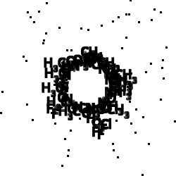 CC[C@H](C)[C@@H]1NC(=O)[C@H](CC(C)C)N(C)C(=O)C[C@@H](C)NC(=O)[C@H](CC(C)C)N(C)C(=O)C(C)(C)NC(=O)[C@H](CC(C)C)N(C)C(=O)[C@H](CCc2ccc(C(F)(F)F)c(Cl)c2)NC(=O)CN(C)C(=O)[C@H](CCCCC(F)F)N(C)C(=O)CN(C)C(=O)CN(C)C1=O